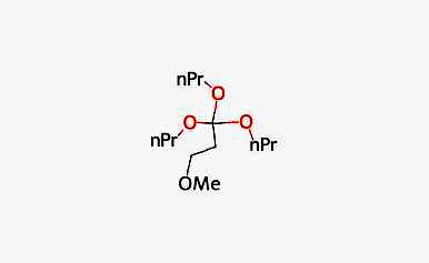 CCCOC(CCOC)(OCCC)OCCC